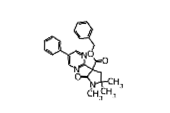 CN1C(=O)C(C(=O)OCc2ccccc2)(c2ncc(-c3ccccc3)cn2)CC1(C)C